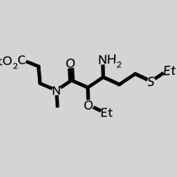 CCOC(=O)CCN(C)C(=O)C(OCC)C(N)CCSCC